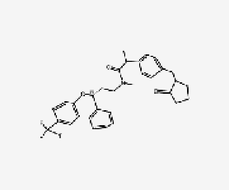 CC(C(=O)N(C)CC[C@@H](Oc1ccc(C(F)(F)F)cc1)c1ccccc1)c1ccc(CC2CCCC2=O)cc1